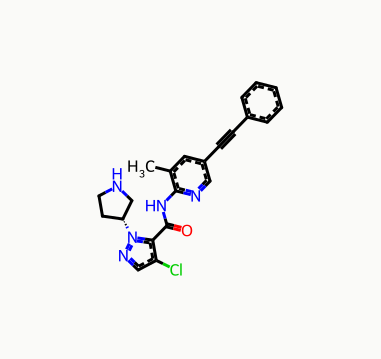 Cc1cc(C#Cc2ccccc2)cnc1NC(=O)c1c(Cl)cnn1[C@@H]1CCNC1